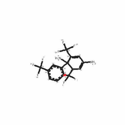 NC1=CC(C(F)(F)F)C(N)(c2cccc(C(F)(F)F)c2)C(C(F)(F)F)=C1